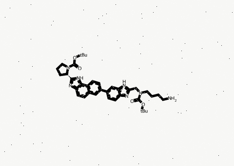 CC(C)(C)OC(=O)N(CCCCN)Cc1nc2ccc(-c3ccc4c(ccc5nc([C@@H]6CCCN6C(=O)OC(C)(C)C)[nH]c54)c3)cc2[nH]1